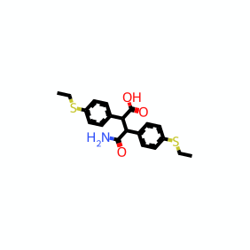 CCSc1ccc(C(C(N)=O)C(C(=O)O)c2ccc(SCC)cc2)cc1